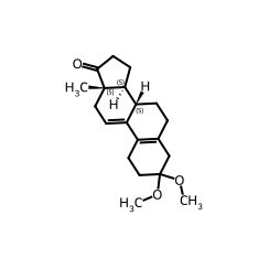 COC1(OC)CCC2=C(CC[C@@H]3C2=CC[C@]2(C)C(=O)CC[C@@H]32)C1